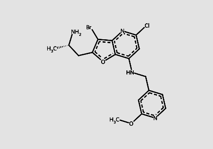 COc1cc(CNc2cc(Cl)nc3c(Br)c(C[C@H](C)N)oc23)ccn1